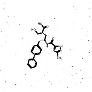 Cc1n[nH]c(C(=O)N[C@H](Cc2ccc(-c3ccccc3)cc2)C[C@@H](CO)C(=O)O)n1